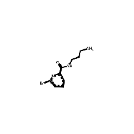 NCCCNC(=O)c1cccc(Br)n1